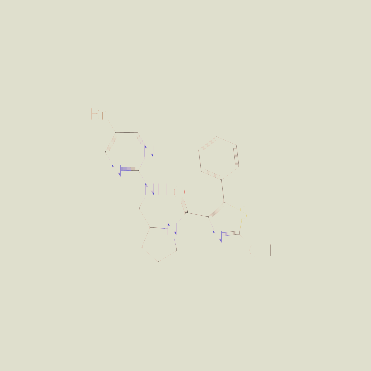 Cc1nc(C(=O)N2CCCC2CNc2ncc(Br)cn2)c(-c2ccccc2)s1